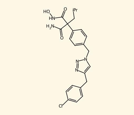 CC(C)CC(C(N)=O)(C(=O)NO)c1ccc(Cn2cc(Cc3ccc(Cl)cc3)nn2)cc1